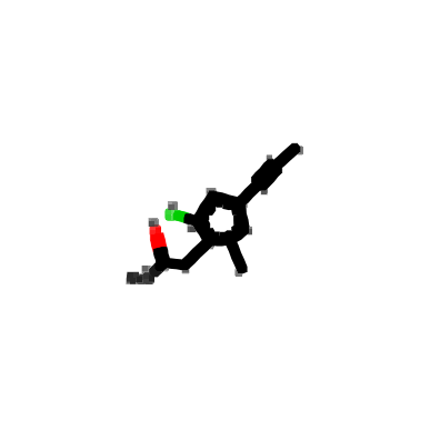 CC#Cc1cc(C)c(CC(=O)OC)c(Cl)c1